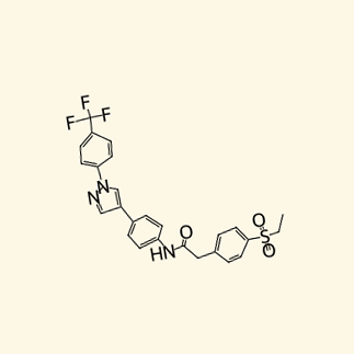 CCS(=O)(=O)c1ccc(CC(=O)Nc2ccc(-c3cnn(-c4ccc(C(F)(F)F)cc4)c3)cc2)cc1